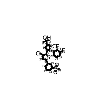 CC(C)(O)c1cc(-c2sc(-c3cccc(S(C)(=O)=O)c3)cc2Cl)n(-c2cccc(F)c2C(F)(F)F)n1